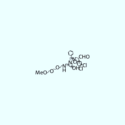 COCCOCCOCCNC[C@@H]1C[C@@H](O)CN1C[C@H](c1ccccc1)N(C)CC(C=O)c1ccc(Cl)c(Cl)c1